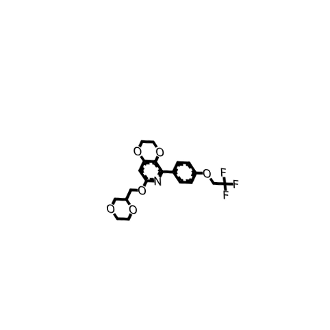 FC(F)(F)COc1ccc(-c2nc(OCC3COCCO3)cc3c2OCCO3)cc1